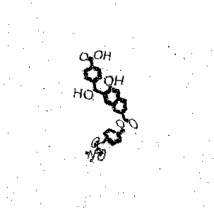 CN(C)S(=O)(=O)c1ccc(COC(=O)c2ccc3cc(O)c(C(O)c4ccc(C(=O)O)cc4)cc3c2)cc1